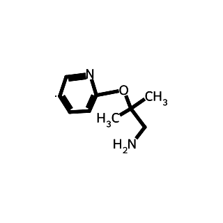 CC(C)(CN)Oc1cc[c]cn1